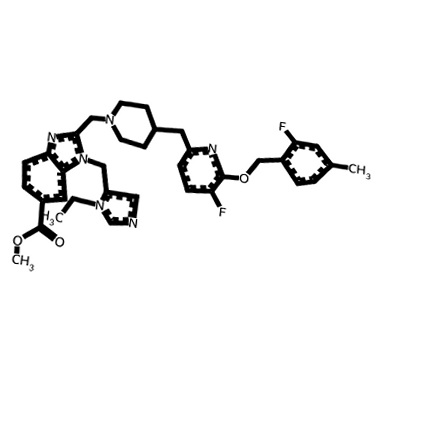 CCn1cncc1Cn1c(CN2CCC(Cc3ccc(F)c(OCc4ccc(C)cc4F)n3)CC2)nc2ccc(C(=O)OC)cc21